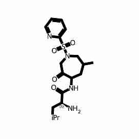 CC(C)C[C@H](N)C(=O)NC1CC(C)CN(S(=O)(=O)c2ccccn2)CC1=O